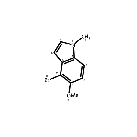 COc1ccc2c(ccn2C)c1Br